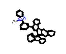 CCn1c(-c2cccc(-c3cc4c(c5ccccc35)-c3cc5ccccc5cc3C43c4ccccc4-c4ccccc43)c2)nc2ccccc21